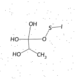 CC(O)C(O)(O)OSI